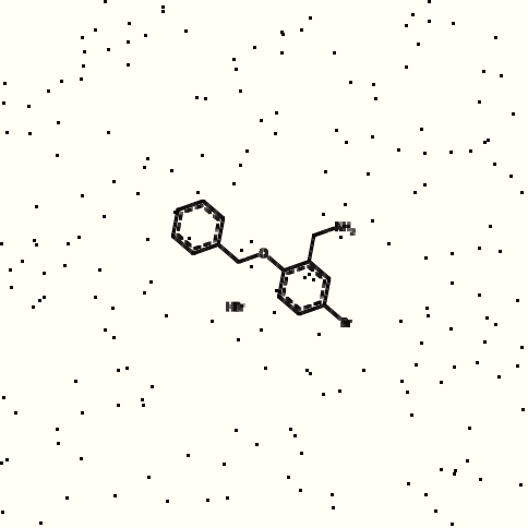 Br.NCc1cc(Br)ccc1OCc1ccccc1